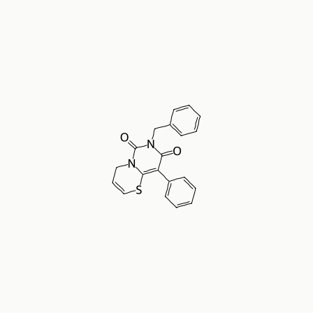 O=c1c(-c2ccccc2)c2n(c(=O)n1Cc1ccccc1)CC=CS2